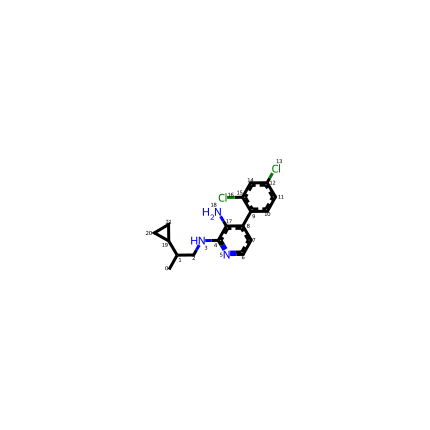 CC(CNc1nccc(-c2ccc(Cl)cc2Cl)c1N)C1CC1